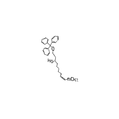 CCCCCCCC/C=C\CCCCCC(O)CCOC(c1ccccc1)(c1ccccc1)c1ccccc1